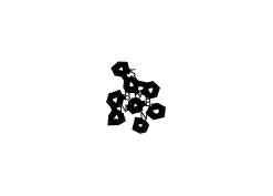 c1ccc(N2c3ccccc3B3c4c2cc2c5c4-n4c6c3cccc6c3c6sc7ccccc7c6cc(c34)B5c3cccc4c5ccccc5n-2c34)cc1